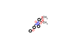 COC(=O)c1cccc(N(Cc2ccccc2)C(=O)NCc2ccc(Oc3ccccc3)cc2)c1C(=O)OC